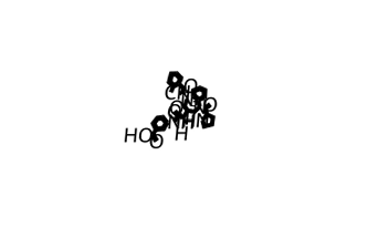 Cc1ccccc1C(=O)CN1C(=O)C(NC(=O)Nc2cccc(C(=O)O)c2)CN(C(=O)C2CCCN2)c2ccccc21